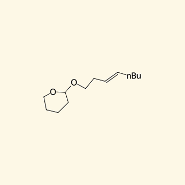 CCCCC=CCCOC1CCCCO1